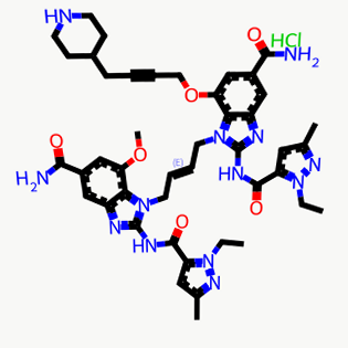 CCn1nc(C)cc1C(=O)Nc1nc2cc(C(N)=O)cc(OC)c2n1C/C=C/Cn1c(NC(=O)c2cc(C)nn2CC)nc2cc(C(N)=O)cc(OCC#CCC3CCNCC3)c21.Cl